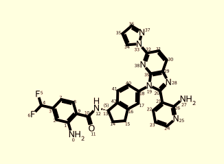 Nc1cc(C(F)F)ccc1C(=O)N[C@H]1CCc2cc(-n3c(-c4cccnc4N)nc4ccc(-n5cccn5)nc43)ccc21